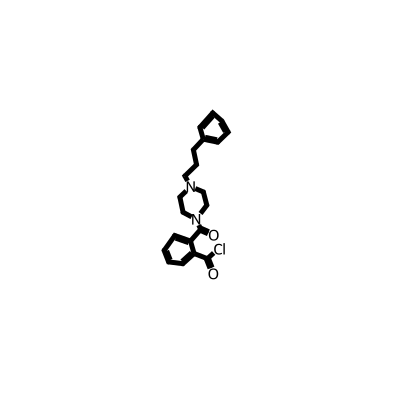 O=C(Cl)c1ccccc1C(=O)N1CCN(CCCc2ccccc2)CC1